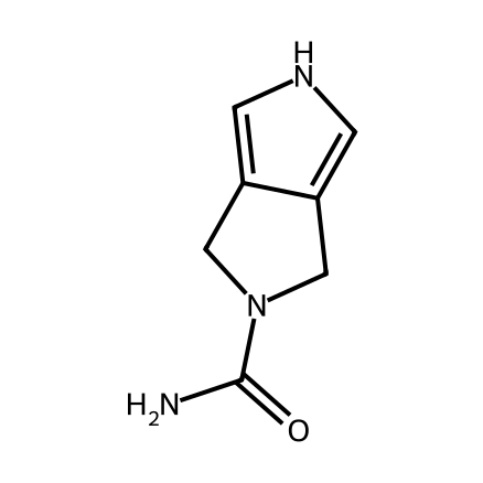 NC(=O)N1Cc2c[nH]cc2C1